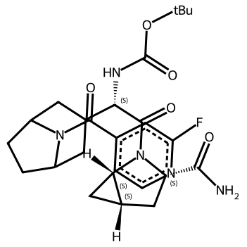 CC(C)(C)OC(=O)N[C@H](C(=O)N1[C@H](C(N)=O)C[C@@H]2C[C@@H]21)C1CC2CCC(C1)N2C(=O)c1ccnc(F)c1